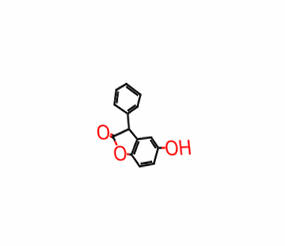 O=C1Oc2ccc(O)cc2C1c1ccccc1